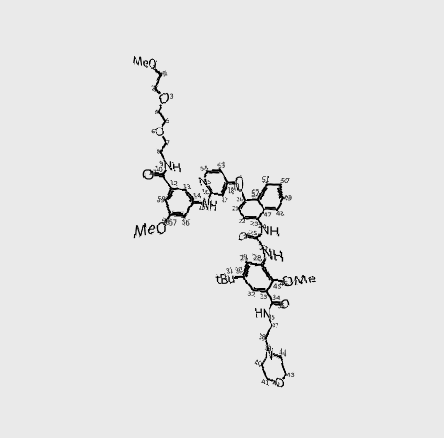 COCCOCCOCCNC(=O)c1cc(Nc2cc(Oc3ccc(NC(=O)Nc4cc(C(C)(C)C)cc(C(=O)NCCN5CCOCC5)c4OC)c4ccccc34)ccn2)cc(OC)c1